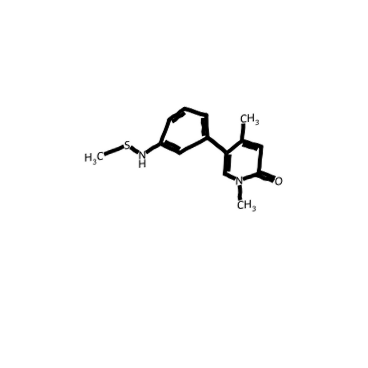 CSNc1cccc(-c2cn(C)c(=O)cc2C)c1